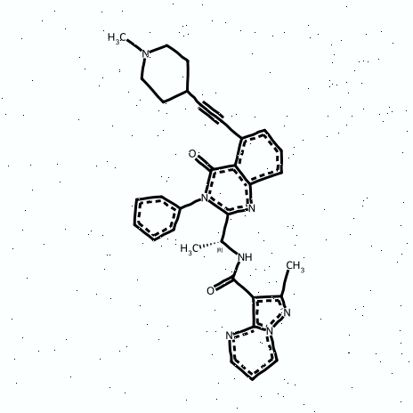 Cc1nn2cccnc2c1C(=O)N[C@H](C)c1nc2cccc(C#CC3CCN(C)CC3)c2c(=O)n1-c1ccccc1